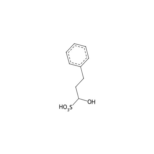 O=S(=O)(O)C(O)CCc1ccccc1